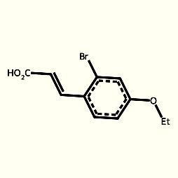 CCOc1ccc(C=CC(=O)O)c(Br)c1